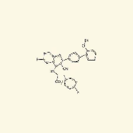 CCOc1ccccc1-c1ccc(-c2nc3ccc(F)cc3c(NC(Cc3ccc(F)cc3)C(=O)O)c2C#N)cc1